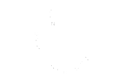 Cc1c(N=C=O)cccc1N=C=O.O=C=NC1CCC(CC2CCC(N=C=O)CC2)CC1